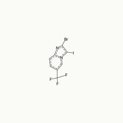 FC(F)(F)c1ccc2nc(Br)c(I)n2c1